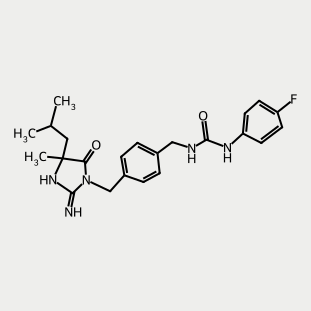 CC(C)CC1(C)NC(=N)N(Cc2ccc(CNC(=O)Nc3ccc(F)cc3)cc2)C1=O